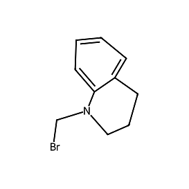 BrCN1CCCc2ccccc21